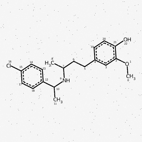 COc1cc(CCC(C)NC(C)c2ccc(Cl)cc2)ccc1O